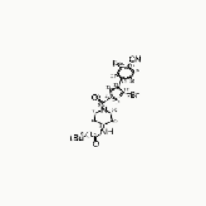 CC(C)(C)OC(=O)NC1CCN(C(=O)c2cc(-c3ccc(C#N)c(F)c3)c(Br)s2)CC1